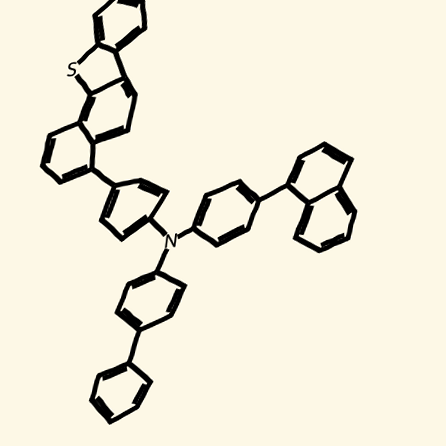 c1ccc(-c2ccc(N(c3ccc(-c4cccc5ccccc45)cc3)c3ccc(-c4cccc5c4ccc4c6ccccc6sc54)cc3)cc2)cc1